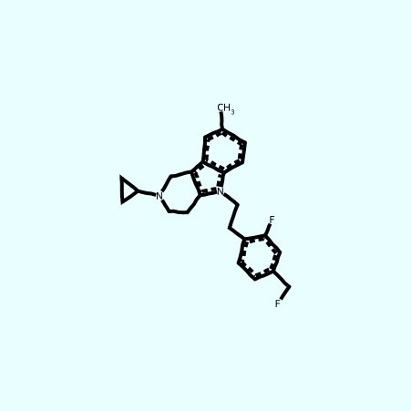 Cc1ccc2c(c1)c1c(n2CCc2ccc(CF)cc2F)CCN(C2CC2)C1